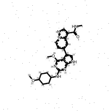 CNC(=O)c1cnn2ccc(-c3c[nH]c4nc(NC5CCC(OC)CC5)nc(OC)c34)cc12